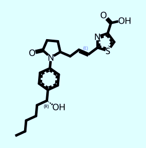 CCCCC[C@@H](O)c1ccc(N2C(=O)CCC2C/C=C/c2nc(C(=O)O)cs2)cc1